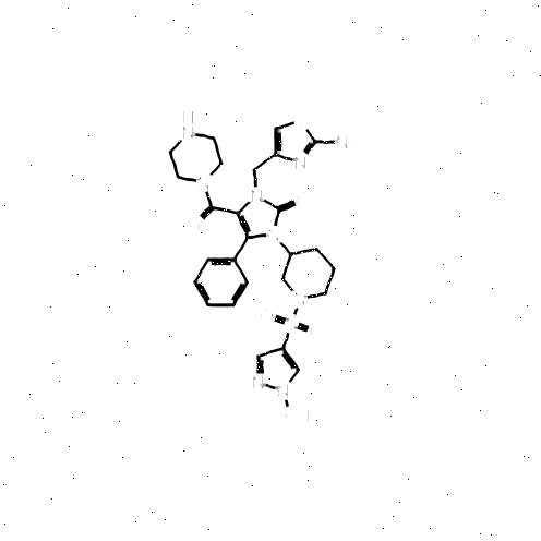 Cn1cc(S(=O)(=O)N2CCCC(n3c(-c4ccccc4)c(C(=O)N4CCNCC4)n(Cc4csc(N)n4)c3=O)C2)cn1